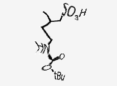 CC(CCNC(=O)OC(C)(C)C)CS(=O)(=O)O